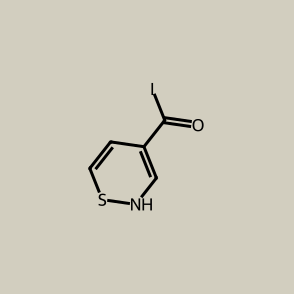 O=C(I)C1=CNSC=C1